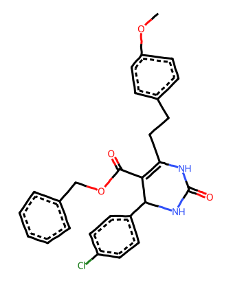 COc1ccc(CCC2=C(C(=O)OCc3ccccc3)C(c3ccc(Cl)cc3)NC(=O)N2)cc1